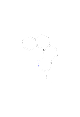 Bc1cnc2c(ccc3ccc4ccccc4c32)c1